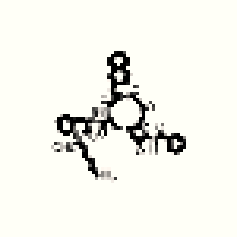 NCCCCC(C=O)NC(=O)C(Cc1ccccc1)NC(=O)C1CSC2CC(=O)C(NC(=O)c3ccccc3)OC2CC(=O)CC(=O)NC(Cc2ccc3ccccc3c2)C(=O)N1